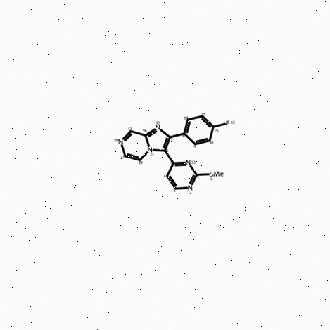 CSc1nccc(-c2c(-c3ccc(F)cc3)nc3cnccn23)n1